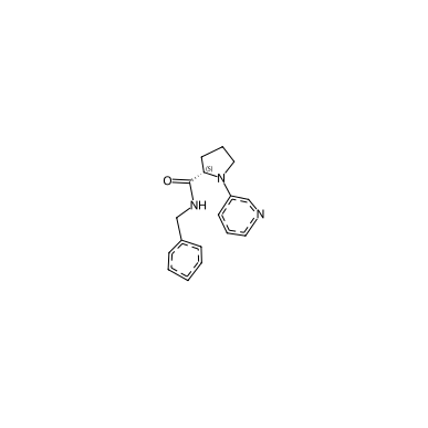 O=C(NCc1ccccc1)[C@@H]1CCCN1c1cccnc1